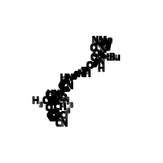 CNC(=O)[C@@H]1CCCN1C(=O)[C@@H](NC(=O)COCCNCCNc1ccc(C(=O)N[C@H]2C(C)(C)[C@H](Oc3ccc(C#N)c(Cl)c3)C2(C)C)cn1)C(C)(C)C